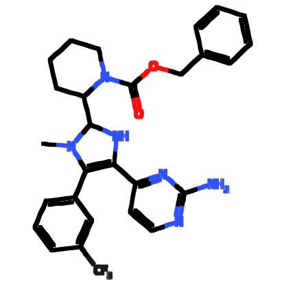 CN1C(c2cccc(C(F)(F)F)c2)=C(c2ccnc(N)n2)NC1C1CCCCN1C(=O)OCc1ccccc1